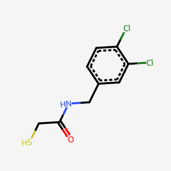 O=C(CS)NCc1ccc(Cl)c(Cl)c1